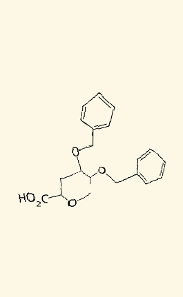 O=C(O)C1CC(OCc2ccccc2)C(OCc2ccccc2)CO1